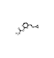 NC(=O)Oc1nccc(C=NC2CC2)n1